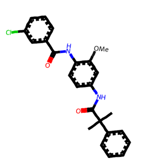 COc1cc(NC(=O)C(C)(C)c2ccccc2)ccc1NC(=O)c1cccc(Cl)c1